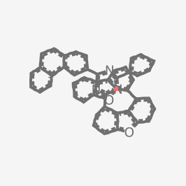 c1ccc(-c2nc(-c3ccc4ccc5ccccc5c4c3)nc(-c3cccc4oc5cccc(-c6cccc7c6oc6ccccc67)c5c34)n2)cc1